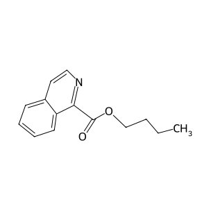 CCCCOC(=O)c1nccc2ccccc12